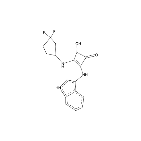 O=C1C(Nc2c[nH]c3ccccc23)=C(NC2CCC(F)(F)C2)C1O